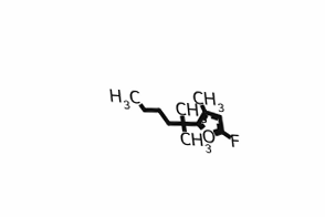 CCCCC(C)(C)c1oc(F)cc1C